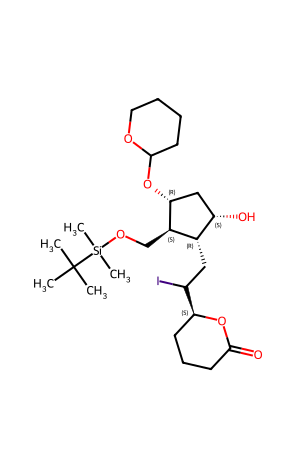 CC(C)(C)[Si](C)(C)OC[C@@H]1[C@@H](CC(I)[C@@H]2CCCC(=O)O2)[C@@H](O)C[C@H]1OC1CCCCO1